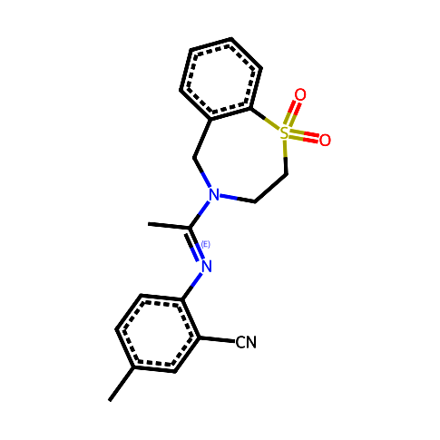 C/C(=N\c1ccc(C)cc1C#N)N1CCS(=O)(=O)c2ccccc2C1